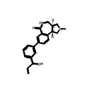 CCC(O)c1cccc(-c2ccc3c(c2)C(=O)NC[C@H]2CN(C)C[C@H]32)c1